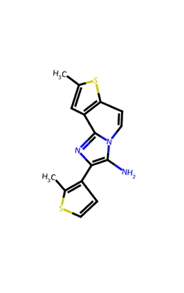 Cc1cc2c(ccn3c(N)c(-c4ccsc4C)nc23)s1